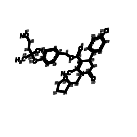 CC1=C(C(=O)OCc2ccc(OC(C)(C)CCO)cc2)C(c2ccc(Cl)nc2)CC(=O)N1CC1CCCO1